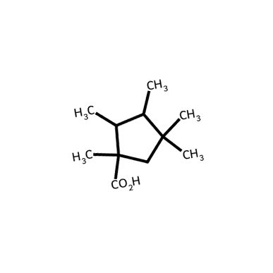 CC1C(C)C(C)(C(=O)O)CC1(C)C